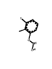 Cc1c(F)cccc1OBO